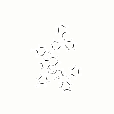 Cc1ccc(N(c2ccc3c(c2)c2ccccc2n3-c2ccccc2)c2cccc3c(N(c4ccc(C)cc4)c4ccc5c(c4)c4ccccc4n5-c4ccccc4)cccc23)cc1